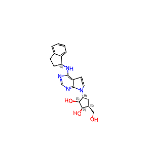 OC[C@@H]1C[C@@H](n2ccc3c(N[C@H]4CCc5ccccc54)ncnc32)[C@H](O)[C@@H]1O